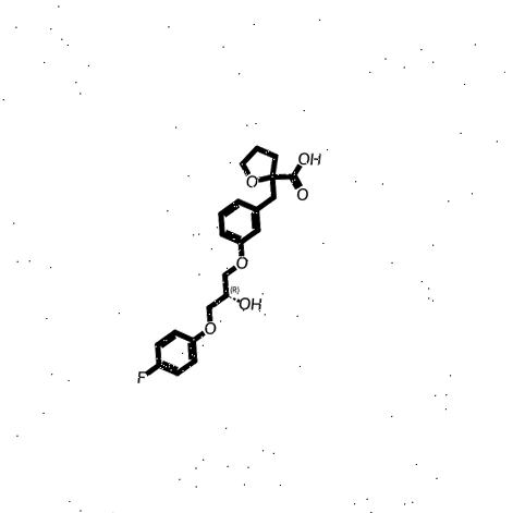 O=C(O)C1(Cc2cccc(OC[C@H](O)COc3ccc(F)cc3)c2)CCCO1